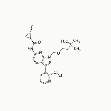 CCOc1ncccc1-c1cn(COCC[Si](C)(C)C)c2nc(NC(=O)[C@H]3C[C@H]3F)ccc12